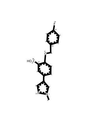 Cn1cc(-c2ccc(OCc3ccc(F)cc3)c(C(=O)O)c2)cn1